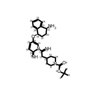 CC(C)(C)OC(=O)N1CCC(CC(=N)n2cc(O[C@@H]3CC[C@H](N)c4ccccc43)ccc2=N)CC1